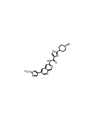 CC(C)N1CCC(c2nc(C(=O)Nc3cc4cc(-c5cnn(C)c5)cnc4cn3)co2)CC1